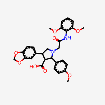 COc1ccc(C2C(C(=O)O)C(c3ccc4c(c3)OCO4)CN2CC(=O)Nc2c(OC)cccc2OC)cc1